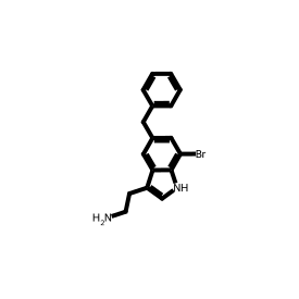 NCCc1c[nH]c2c(Br)cc(Cc3ccccc3)cc12